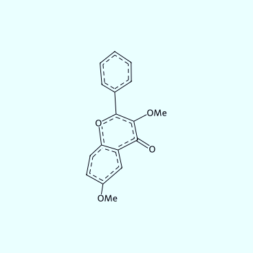 COc1ccc2oc(-c3ccccc3)c(OC)c(=O)c2c1